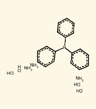 Cl.Cl.Cl.Cl.N.N.N.c1ccc(N(c2ccccc2)c2ccccc2)cc1